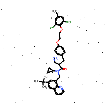 Cc1cc(Cl)c(OCCOc2ccc(CC(CN)C(=O)N(Cc3cc(C(C)(C)C#N)cc4cccnc34)C3CC3)cc2)c(Cl)c1